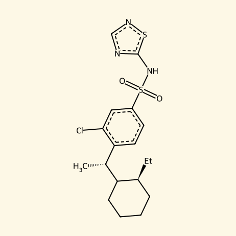 CC[C@H]1CCCCC1[C@H](C)c1ccc(S(=O)(=O)Nc2ncns2)cc1Cl